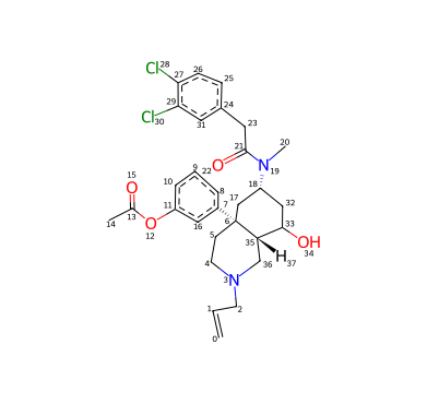 C=CCN1CC[C@@]2(c3cccc(OC(C)=O)c3)C[C@H](N(C)C(=O)Cc3ccc(Cl)c(Cl)c3)CC(O)[C@@H]2C1